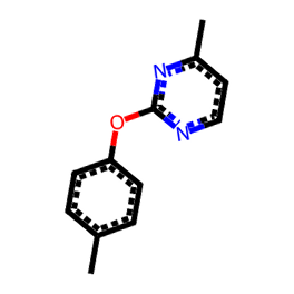 Cc1ccc(Oc2nccc(C)n2)cc1